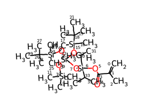 C=C(C)C(=O)O[Si](O[Si](O[Si](C)(C)C)(O[Si](C)(C)C(C)(C)C)O[Si](C)(C)C(C)(C)C)(C(C)C)C(C)C